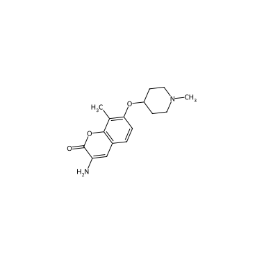 Cc1c(OC2CCN(C)CC2)ccc2cc(N)c(=O)oc12